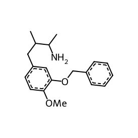 COc1ccc(CC(C)C(C)N)cc1OCc1ccccc1